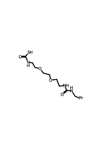 CC(C)CNC(=O)NCCOCCOCCNC(=O)S